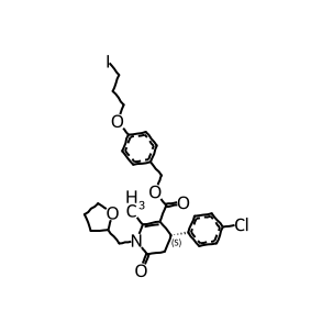 CC1=C(C(=O)OCc2ccc(OCCCI)cc2)[C@H](c2ccc(Cl)cc2)CC(=O)N1CC1CCCO1